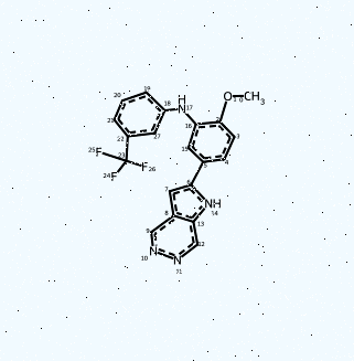 COc1ccc(-c2cc3cnncc3[nH]2)cc1Nc1cccc(C(F)(F)F)c1